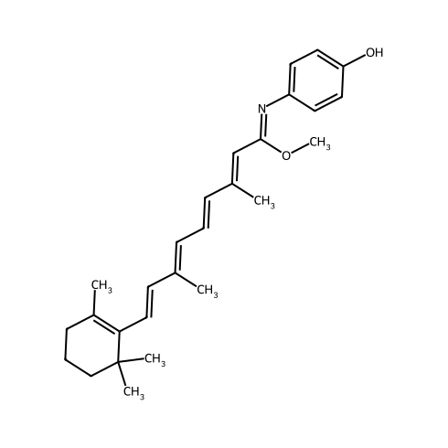 COC(/C=C(C)/C=C/C=C(C)/C=C/C1=C(C)CCCC1(C)C)=N\c1ccc(O)cc1